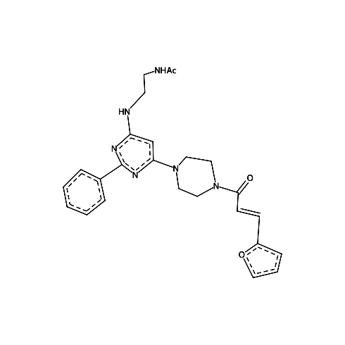 CC(=O)NCCNc1cc(N2CCN(C(=O)C=Cc3ccco3)CC2)nc(-c2ccccc2)n1